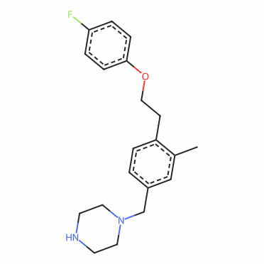 Cc1cc(CN2CCNCC2)ccc1CCOc1ccc(F)cc1